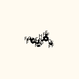 CC(NC(=O)c1cc(OCC(F)(F)F)cc(C(F)(F)F)c1)c1nccnc1-c1ccc(OC(F)F)cn1